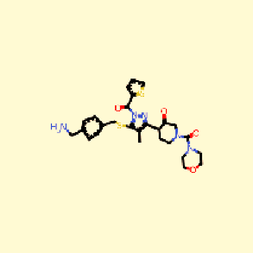 Cc1c(C2CCN(C(=O)N3CCOCC3)CC2=O)nn(C(=O)c2cccs2)c1SCc1ccc(CN)cc1